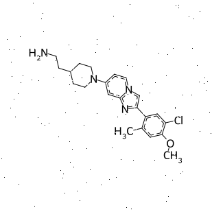 COc1cc(C)c(-c2cn3ccc(N4CCC(CCN)CC4)cc3n2)cc1Cl